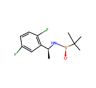 C[C@H](N[S@+]([O-])C(C)(C)C)c1cc(F)ccc1F